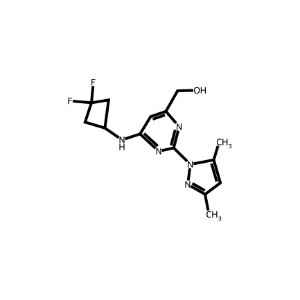 Cc1cc(C)n(-c2nc(CO)cc(NC3CC(F)(F)C3)n2)n1